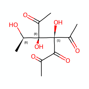 CC(=O)C(=O)[C@@](O)(C(C)=O)[C@@](O)(C(C)=O)[C@@H](C)O